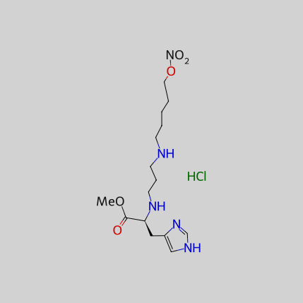 COC(=O)[C@H](Cc1c[nH]cn1)NCCCNCCCCCO[N+](=O)[O-].Cl